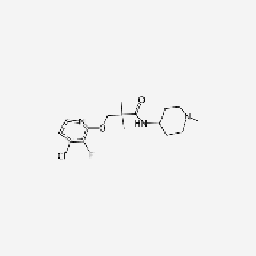 CN1CCC(NC(=O)C(C)(C)COc2nccc(Cl)c2F)CC1